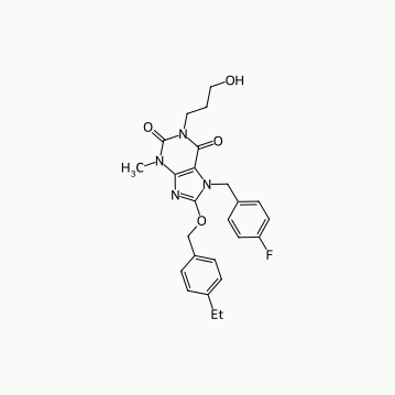 CCc1ccc(COc2nc3c(c(=O)n(CCCO)c(=O)n3C)n2Cc2ccc(F)cc2)cc1